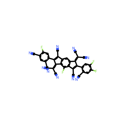 N#CC(C#N)=C1C(c2cc(F)c(F)cc2C#N)=C(C#N)c2c1cc1c(c2F)C(=C(C#N)C#N)C(c2cc(F)c(C#N)cc2C#N)=C1C#N